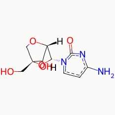 Nc1ccn([C@@H]2O[C@]3(CO)CO[C@H]2[C@H]3O)c(=O)n1